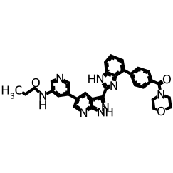 CCC(=O)Nc1cncc(-c2cnc3[nH]nc(-c4nc5c(-c6ccc(C(=O)N7CCOCC7)cc6)cccc5[nH]4)c3c2)c1